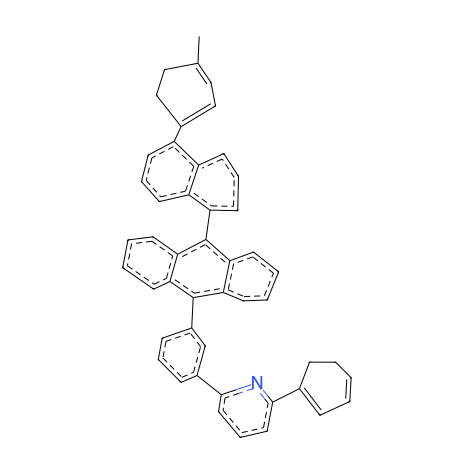 CC1=CC=C(c2cccc3c(-c4c5ccccc5c(-c5cccc(-c6cccc(C7=CC=CCC7)n6)c5)c5ccccc45)cccc23)CC1